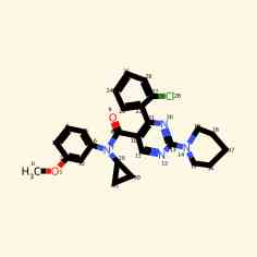 COc1cccc(N(C(=O)c2cnc(N3CCCCC3)nc2-c2ccccc2Cl)C2CC2)c1